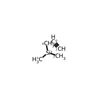 C#C.C[Si](C)C